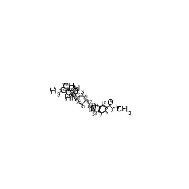 CCCC(=O)c1ccc2c(c1)C1CCC2N1CC[C@H]1CC[C@H](NC(=O)OC(C)(C)C)CC1